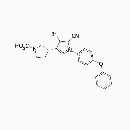 N#Cc1c(Br)c([C@@H]2CCN(C(=O)O)C2)cn1-c1ccc(Oc2ccccc2)cc1